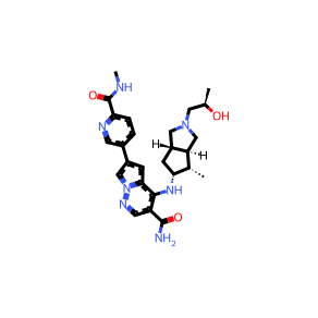 CNC(=O)c1ccc(-c2cc3c(N[C@@H]4C[C@@H]5CN(C[C@@H](C)O)C[C@H]5[C@@H]4C)c(C(N)=O)cnn3c2)cn1